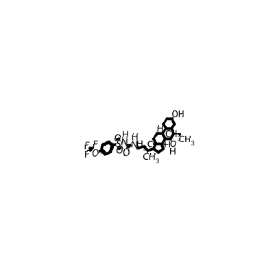 CC[C@@H]1C2C[C@H](O)CCC2(C)[C@H]2CCC3(C)C([C@H](C)CCNC(=O)NS(=O)(=O)c4ccc(OC(F)(F)F)cc4)CC[C@H]3C2[C@@H]1O